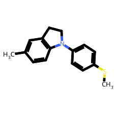 CSc1ccc(N2CCc3cc(C)ccc32)cc1